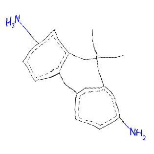 CC1(C)c2cc(N)ccc2-c2ccc(N)cc21